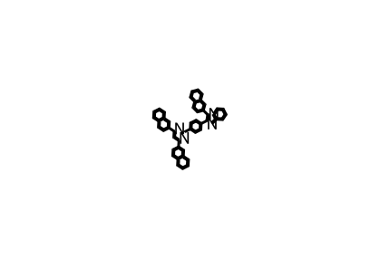 c1ccc2cc(-c3cc(-c4ccc5ccccc5c4)nc(-c4ccc(-c5nc6ccccn6c5-c5ccc6ccccc6c5)cc4)n3)ccc2c1